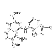 CCCOc1nc(Nc2cccc3c(Cl)c[nH]c23)c2c(NC)c(OC)ccc2n1